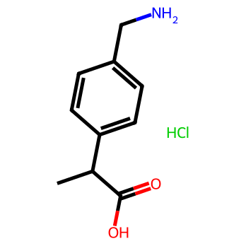 CC(C(=O)O)c1ccc(CN)cc1.Cl